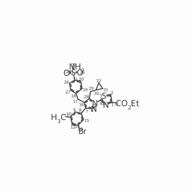 CCOC(=O)c1csc(-n2nc(-c3cc(C)cc(Br)c3)c(Cc3ccc(S(N)(=O)=O)cc3)c2CC2CC2)n1